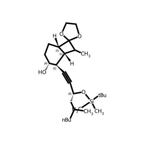 CCCCC(C)C[C@H](C#C[C@@H]1[C@H]2C(C)C3(OCCO3)[C@H]2CC[C@H]1O)O[Si](C)(C)C(C)(C)C